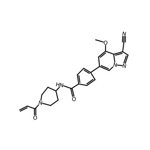 C=CC(=O)N1CCC(NC(=O)c2ccc(-c3cc(OC)c4c(C#N)cnn4c3)cc2)CC1